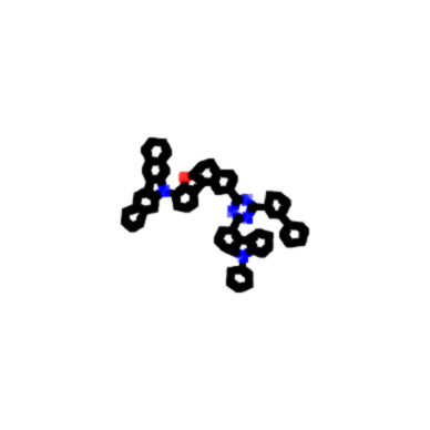 c1ccc(-c2cccc(-c3nc(-c4ccc5ccc6oc7c(-n8c9cc%10ccccc%10cc9c9cc%10ccccc%10cc98)cccc7c6c5c4)nc(-c4cccc5c4c4ccccc4n5-c4ccccc4)n3)c2)cc1